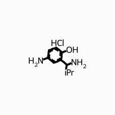 CC(C)C(N)c1cc(N)ccc1O.Cl